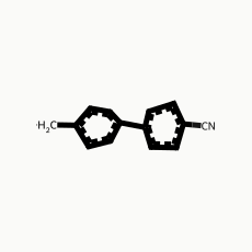 [CH2]c1ccc(-c2ccc(C#N)cc2)cc1